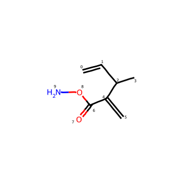 C=CC(C)C(=C)C(=O)ON